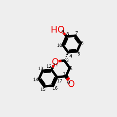 O=C1C[C@@H](c2cccc(O)c2)Oc2ccccc21